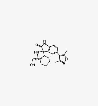 Cc1noc(C)c1-c1ccc2c(c1)C(N[C@@H](CO)C(C)C)(C1CCCCC1)C(=O)N2